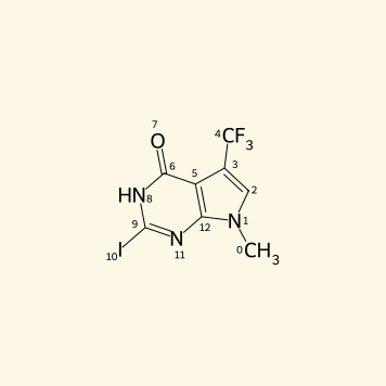 Cn1cc(C(F)(F)F)c2c(=O)[nH]c(I)nc21